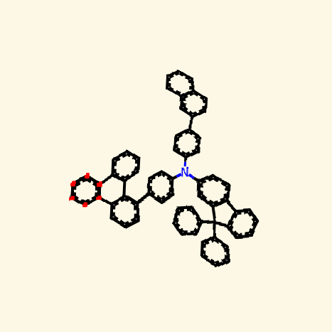 c1ccc(-c2ccccc2-c2c(-c3ccccc3)cccc2-c2ccc(N(c3ccc(-c4ccc5ccccc5c4)cc3)c3ccc4c(c3)C(c3ccccc3)(c3ccccc3)c3ccccc3-4)cc2)cc1